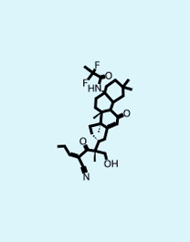 CC/C=C(/C#N)C(=O)[C@@](C)(CO)[C@@H]1CC[C@]2(C)C(=CC(=O)C3C4CC(C)(C)CC[C@]4(NC(=O)C(C)(F)F)CC[C@]32C)C1